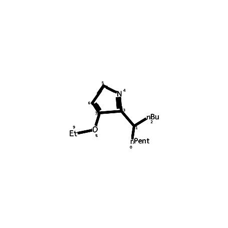 CCCCCC(CCCC)C1=NCC=C1OCC